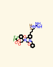 N=C(N)NCC(S)CCc1ccc2c(c1)C(=O)N(C(CC(=O)OC(=O)C(F)(F)F)c1ccccc1)CC(=O)N2Cc1ccccc1